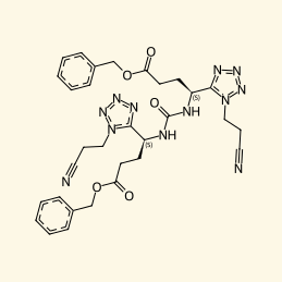 N#CCCn1nnnc1[C@H](CCC(=O)OCc1ccccc1)NC(=O)N[C@@H](CCC(=O)OCc1ccccc1)c1nnnn1CCC#N